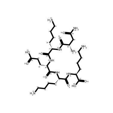 NCCCC[C@H](NC(=O)[C@H](CCCCN)NC(=O)[C@H](CCC(=O)O)NC(=O)[C@H](CCCCN)NC(=O)[C@@H](N)CC(N)=O)C(=O)O